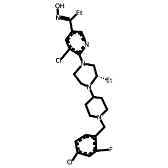 CCC(=NO)c1cnc(N2CCN(C3CCN(Cc4ccc(Cl)cc4F)CC3)[C@@H](CC)C2)c(Cl)c1